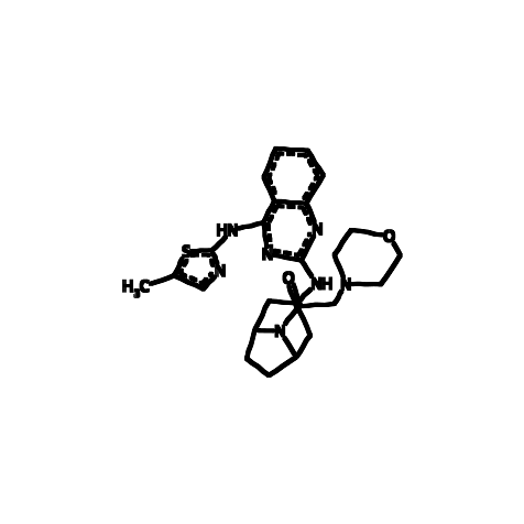 Cc1cnc(Nc2nc(NC3CC4CCC(C3)N4C(=O)CN3CCOCC3)nc3ccccc23)s1